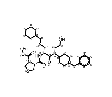 CC(C)(C)OC(=O)N1CSC[C@H]1C(=O)N[C@@H](CSCC1CCCCC1)C(=O)N(CCO)C1CCN(Cc2ccccc2)CC1